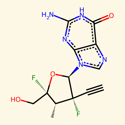 C#C[C@]1(F)[C@H](n2cnc3c(=O)[nH]c(N)nc32)O[C@](F)(CO)[C@H]1C